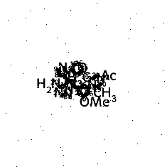 COc1cc(-c2cc(-c3ccnn3C3CCOCC3)c3c(N)ncnn23)cc(N2[C@H](C)CN(C(C)=O)C[C@@H]2C)c1